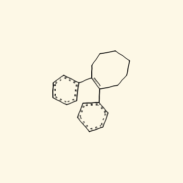 c1ccc(/C2=C(\c3ccccc3)CCCCCC2)cc1